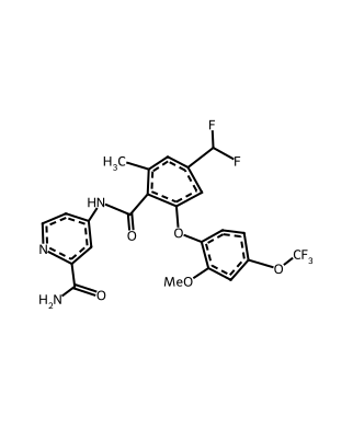 COc1cc(OC(F)(F)F)ccc1Oc1cc(C(F)F)cc(C)c1C(=O)Nc1ccnc(C(N)=O)c1